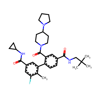 Cc1c(F)cc(C(=O)NC2CC2)cc1-c1ccc(C(=O)NCC(C)(C)C)cc1C(=O)N1CCC(N2CCCC2)CC1